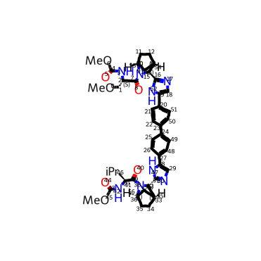 COC[C@H](NC(=O)OC)C(=O)N1[C@@H]2CC[C@@H](C2)[C@H]1c1ncc(-c2ccc(-c3ccc(-c4cnc([C@@H]5[C@H]6CC[C@H](C6)N5C(=O)[C@@H](NC(=O)OC)C(C)C)[nH]4)cc3)cc2)[nH]1